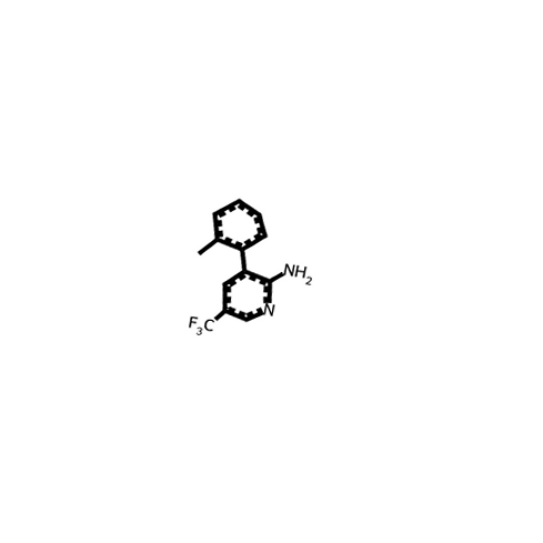 Cc1ccccc1-c1cc(C(F)(F)F)cnc1N